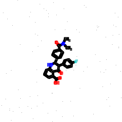 CN(C)C(=O)c1ccc(C2Nc3cccc(C(=O)O)c3C(=O)C2c2ccc(F)cc2)cc1